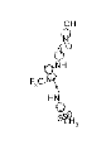 CS(=O)(=O)c1ccc(NCC#Cc2cc3c(NC4CCN(CC(=O)N5CCC(O)CC5)CC4)cccc3n2CC(F)(F)F)cc1